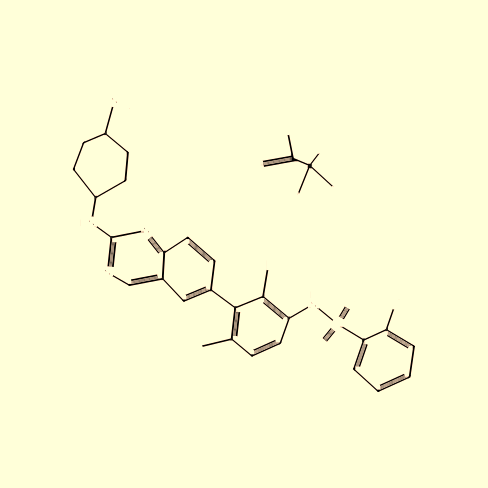 NC1CCC(Nc2ncc3cc(-c4c(F)ccc(NS(=O)(=O)c5ccccc5Cl)c4F)ccc3n2)CC1.O=C(O)C(F)(F)F